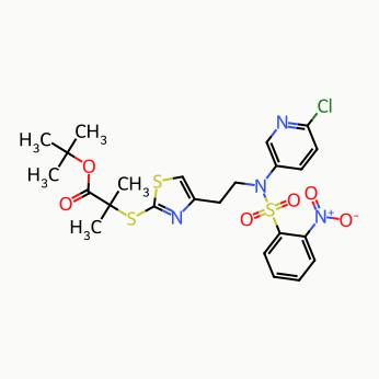 CC(C)(C)OC(=O)C(C)(C)Sc1nc(CCN(c2ccc(Cl)nc2)S(=O)(=O)c2ccccc2[N+](=O)[O-])cs1